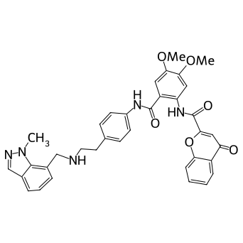 COc1cc(NC(=O)c2cc(=O)c3ccccc3o2)c(C(=O)Nc2ccc(CCNCc3cccc4cnn(C)c34)cc2)cc1OC